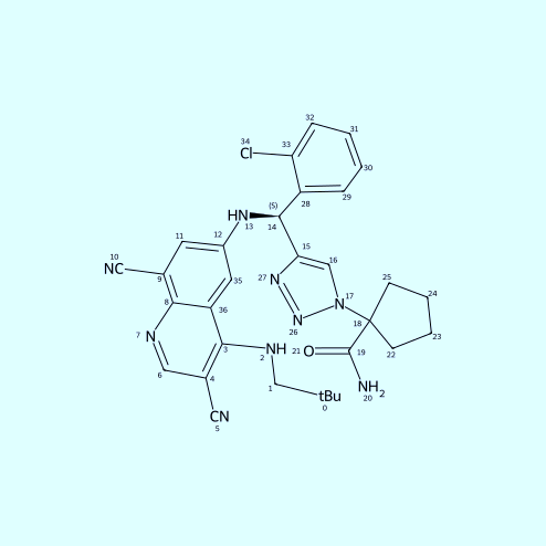 CC(C)(C)CNc1c(C#N)cnc2c(C#N)cc(N[C@H](c3cn(C4(C(N)=O)CCCC4)nn3)c3ccccc3Cl)cc12